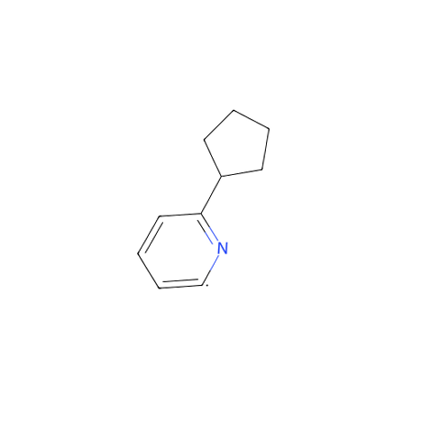 [c]1cccc(C2CCCC2)n1